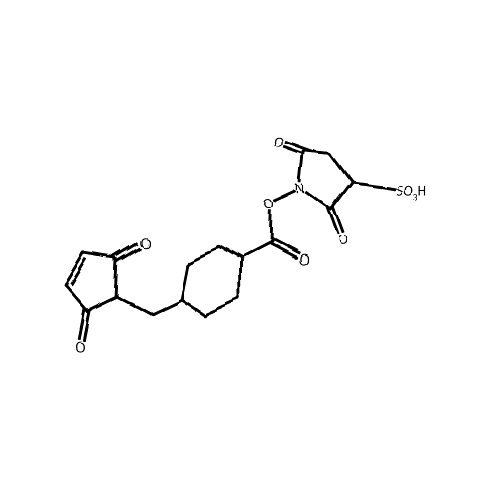 O=C(ON1C(=O)CC(S(=O)(=O)O)C1=O)C1CCC(CC2C(=O)C=CC2=O)CC1